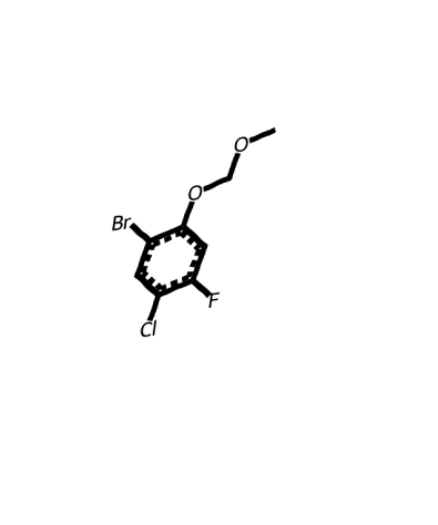 COCOc1cc(F)c(Cl)cc1Br